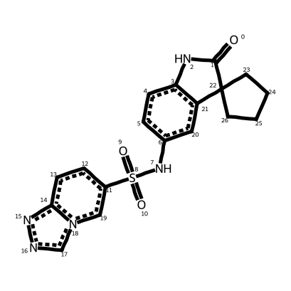 O=C1Nc2ccc(NS(=O)(=O)c3ccc4nncn4c3)cc2C12CCCC2